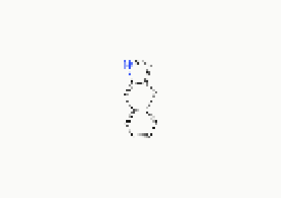 C1=NC2=Cc3ccccc3CC2=C1